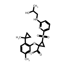 Cc1ccc(C2(C)CC2)c(OC2(C(N)=O)CC2S(=O)(=O)c2cccc(NCC(C)O)n2)c1